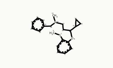 CSc1ccccc1OC(CCN(C)Cc1ccccc1)C1CC1